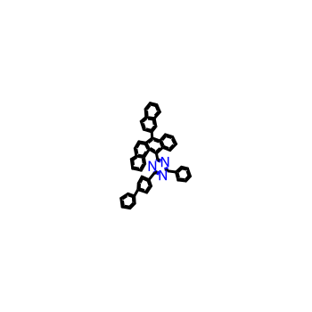 c1ccc(-c2ccc(-c3nc(-c4ccccc4)nc(-c4c5ccccc5c(-c5ccc6ccccc6c5)c5ccc6ccccc6c45)n3)cc2)cc1